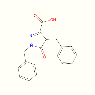 O=C(O)C1=NN(Cc2ccccc2)C(=O)C1Cc1ccccc1